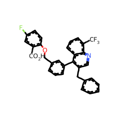 O=C(O)c1cc(F)ccc1OCc1cccc(-c2c(Cc3ccccc3)cnc3c(C(F)(F)F)cccc23)c1